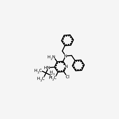 Cc1c(Cl)nc(N(Cc2ccccc2)Cc2ccccc2)c(N)c1NC(C)(C)C